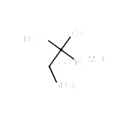 CCCCCCCCC(C(=O)O)(C(=O)O)C(C)(C)C.[MgH2]